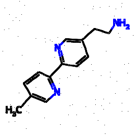 Cc1ccc(-c2ccc(CCN)cn2)nc1